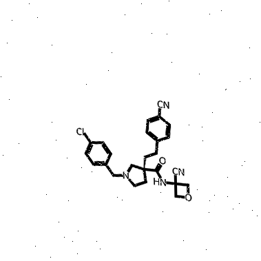 N#Cc1ccc(CC[C@@]2(C(=O)NC3(C#N)COC3)CCN(Cc3ccc(Cl)cc3)C2)cc1